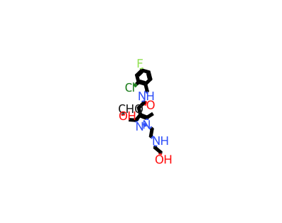 Cc1nn(CCNCCO)c(C)c1CC(=O)NCc1ccc(F)cc1Cl.O=CO